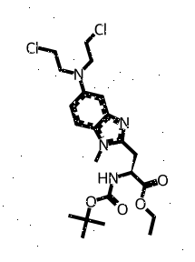 CCOC(=O)[C@H](Cc1nc2cc(N(CCCl)CCCl)ccc2n1C)NC(=O)OC(C)(C)C